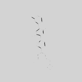 CCCN(CSCC1CCC1)c1ccc(-c2cc(F)c(-c3cc[nH]c(=O)c3)cc2O)nn1